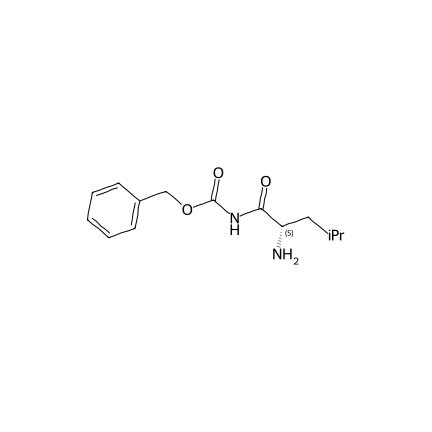 CC(C)C[C@H](N)C(=O)NC(=O)OCc1ccccc1